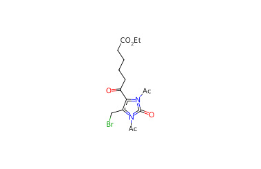 CCOC(=O)CCCCC(=O)c1c(CBr)n(C(C)=O)c(=O)n1C(C)=O